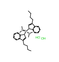 CCCCC1=C[CH]([Zr]([CH]2C=C(CCCC)c3ccccc32)(=[Si](C)C)=[Si](C)C)c2ccccc21.Cl.Cl